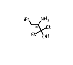 CCC(O)(CC)[C@H](N)CC(C)C